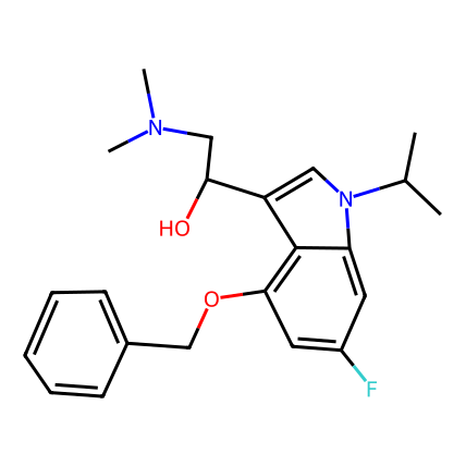 CC(C)n1cc(C(O)CN(C)C)c2c(OCc3ccccc3)cc(F)cc21